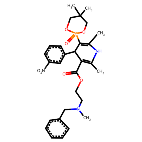 CC1=C(C(=O)OCCN(C)Cc2ccccc2)C(c2cccc([N+](=O)[O-])c2)C(P2(=O)OCC(C)(C)CO2)=C(C)N1